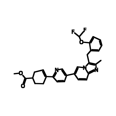 COC(=O)C1CC=C(c2ccc(-c3ccc4nc(C)c(Cc5ccccc5OC(F)F)n4c3)cn2)CC1